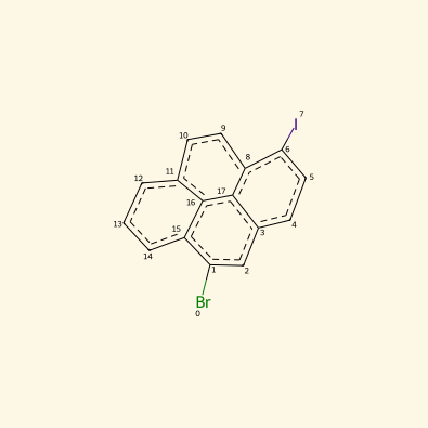 Brc1cc2ccc(I)c3ccc4cccc1c4c23